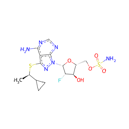 C[C@@H](Sc1nn([C@@H]2O[C@H](COS(N)(=O)=O)[C@@H](O)[C@@H]2F)c2ncnc(N)c12)C1CC1